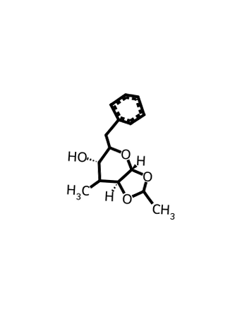 CC1O[C@H]2OC(Cc3ccccc3)[C@@H](O)C(C)[C@@H]2O1